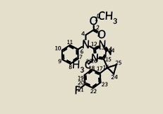 COC(=O)CN(c1ccccc1)c1nnc(C2(c3ccc(F)cc3)CC2)n1C